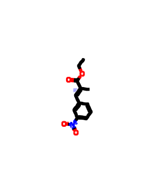 CCOC(=O)/C(C)=C/c1cccc([N+](=O)[O-])c1